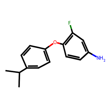 CC(C)c1ccc(Oc2ccc(N)cc2F)cc1